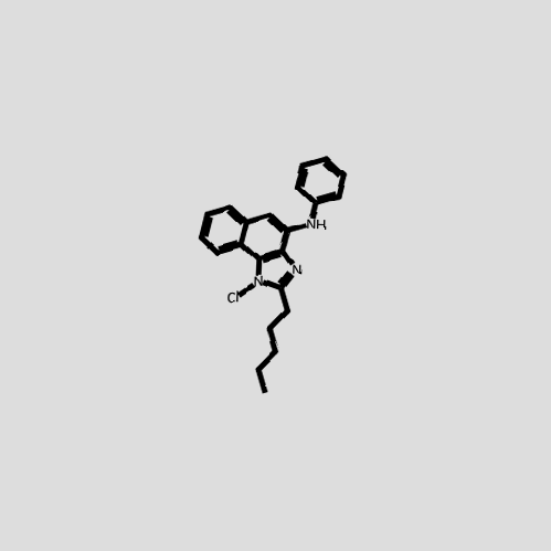 CCCCCc1nc2c(Nc3ccccc3)cc3ccccc3c2n1Cl